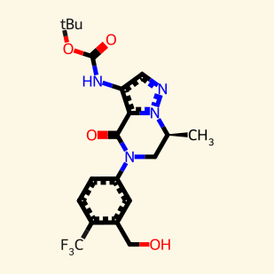 C[C@H]1CN(c2ccc(C(F)(F)F)c(CO)c2)C(=O)c2c(NC(=O)OC(C)(C)C)cnn21